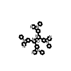 C1=CC2C(C=N1)c1cc(-c3cc(-c4ccc5c(c4)c4cnccc4n5-c4ccccc4)nc4c3oc3c(-c5ccc6c(c5)c5cnccc5n6-c5ccccc5)cc(-c5ccc6c(c5)c5cnccc5n6-c5ccccc5)nc34)ccc1N2c1ccccc1